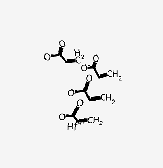 C=CC(=O)[O-].C=CC(=O)[O-].C=CC(=O)[O-].C=CC(=O)[O-].[Hf+4]